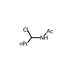 CCCC(Cl)NC(C)=O